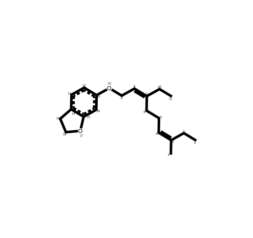 CCC(C)=CCCC(=CCOc1ccc2c(c1)OCC2)CC